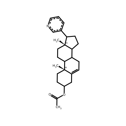 CC(=O)OC1CC[C@@]2(C)C(=CCC3C4CCC(c5cccnc5)[C@@]4(C)CCC32)C1